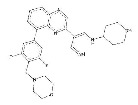 N=C/C(=C\NC1CCNCC1)c1cnc2cccc(-c3cc(F)c(CN4CCOCC4)c(F)c3)c2n1